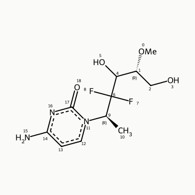 CO[C@H](CO)C(O)C(F)(F)[C@@H](C)n1ccc(N)nc1=O